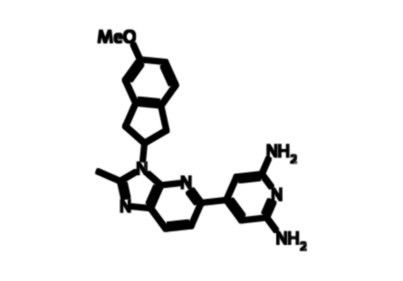 COc1ccc2c(c1)CC(n1c(C)nc3ccc(-c4cc(N)nc(N)c4)nc31)C2